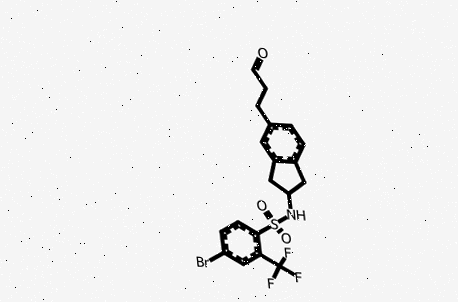 O=CCCc1ccc2c(c1)CC(NS(=O)(=O)c1ccc(Br)cc1C(F)(F)F)C2